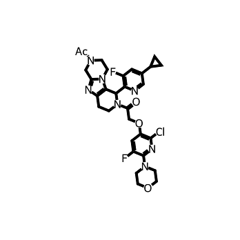 CC(=O)N1CCn2c(nc3c2C(c2ncc(C4CC4)cc2F)N(C(=O)COc2cc(F)c(N4CCOCC4)nc2Cl)CC3)C1